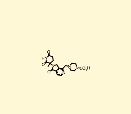 CC1(N2Cc3c(ccnc3CN3CCN(C(=O)O)CC3)C2=O)CCC(=O)NC1=O